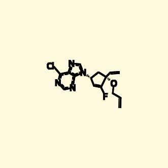 C=CCO[C@@]1(C=C)C[C@@H](n2cnc3c(Cl)ncnc32)C=C1F